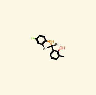 CCC(C)(Pc1ccc(F)cc1C(C)=O)c1cccc(C)c1O